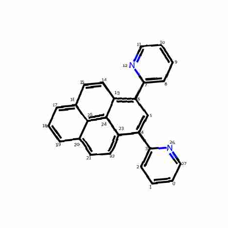 c1ccc(-c2cc(-c3ccccn3)c3ccc4cccc5ccc2c3c54)nc1